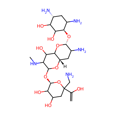 C=C(O)C1(CN)CC(O)C(O)[C@@H](OC2O[C@H]3CC(N)[C@@H](O[C@@H]4C(N)C[C@@H](N)C(O)C4O)OC3C(O)C2NC)O1